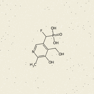 Cc1ncc(C(F)P(=O)(O)O)c(CO)c1O